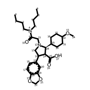 CCCCN(CCCC)C(=O)CN1CC(c2ccc3c(c2)OCO3)C(C(=O)O)[C@@H]1C1CCC(OC)CC1